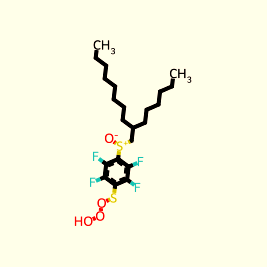 CCCCCCCCC(CCCCCC)C[S+]([O-])c1c(F)c(F)c(SOOO)c(F)c1F